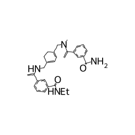 C=C(NCC1=CC=C(CN(C)C(=C)c2cccc(C(N)=O)c2)CC1)c1cccc(C(=O)NCC)c1